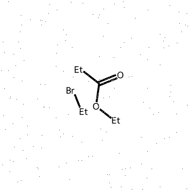 CCBr.CCOC(=O)CC